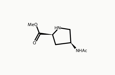 COC(=O)[C@@H]1C[C@H](NC(C)=O)CN1